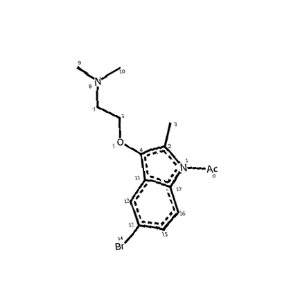 CC(=O)n1c(C)c(OCCN(C)C)c2cc(Br)ccc21